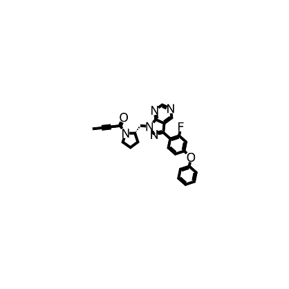 CC#CC(=O)N1CCC[C@H]1Cn1nc(-c2ccc(Oc3ccccc3)cc2F)c2cncnc21